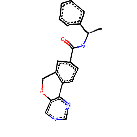 C[C@@H](NC(=O)c1ccc2c(c1)COc1cncnc1-2)c1ccccc1